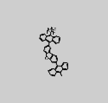 Cc1c2ccccc2c(-c2ccc3c(c2)oc2ccc(-c4c5ccccc5c(S(F)(F)(F)(F)F)c5ccccc45)cc23)c2ccccc12